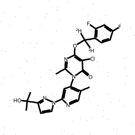 [2H]C([2H])(Oc1nc(C)n(-c2cc(-n3ccc(C(C)(C)O)n3)ncc2C)c(=O)c1Cl)c1ccc(F)cc1F